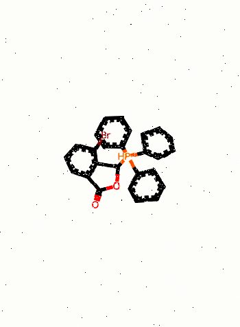 O=C1OC([PH](c2ccccc2)(c2ccccc2)c2ccccc2)c2c(Br)cccc21